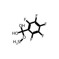 OC(O)(O[SiH3])c1c(F)c(F)c(F)c(F)c1F